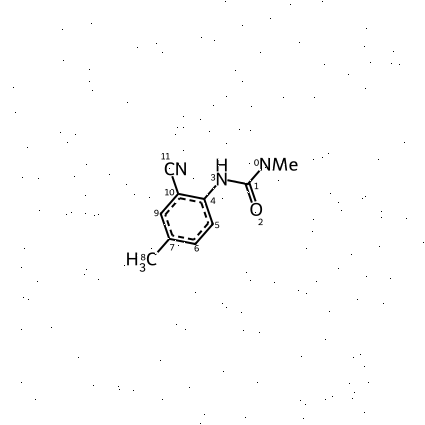 CNC(=O)Nc1ccc(C)cc1C#N